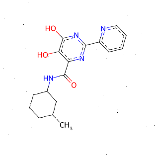 CC1CCCC(NC(=O)c2nc(-c3ccccn3)nc(O)c2O)C1